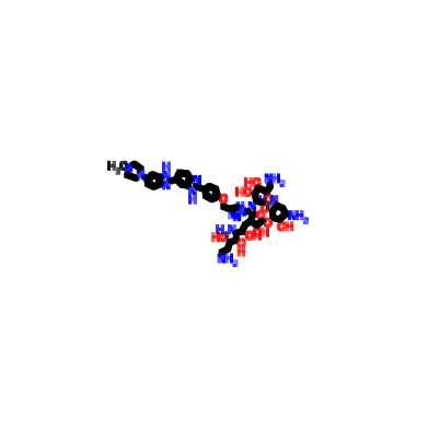 CN1CCN(c2ccc3nc(-c4ccc5nc(-c6ccc(OCc7cn(C[C@H]8O[C@@H](OC9[C@H](O[C@@H]%10OC(CN)[C@@H](O)[C@H](O)C%10N)C(N)C[C@@H](N)[C@H]9O)[C@@H](O)C8C[C@@H](O)C(N)C(O)[C@H](O)CCN)nn7)cc6)[nH]c5c4)[nH]c3c2)CC1